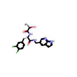 CC(C)[C@@H](O)C(=O)N[C@@H](Cc1ccc(F)c(F)c1)C(=O)NCc1cnc2[nH]ccc2c1